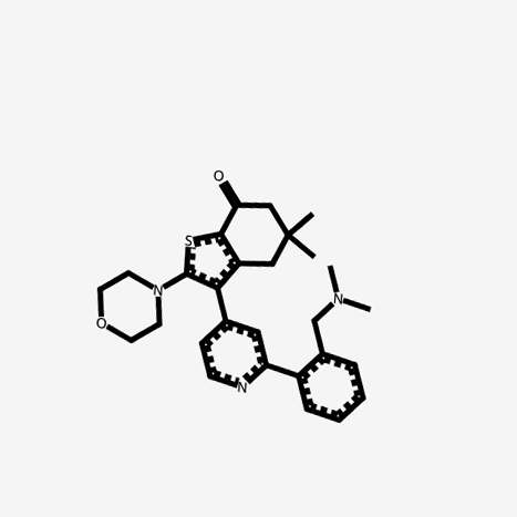 CN(C)Cc1ccccc1-c1cc(-c2c(N3CCOCC3)sc3c2CC(C)(C)CC3=O)ccn1